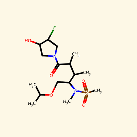 CC(C)OCC(C(C)C(C)C(=O)N1CC(O)C(F)C1)N(C)S(C)(=O)=O